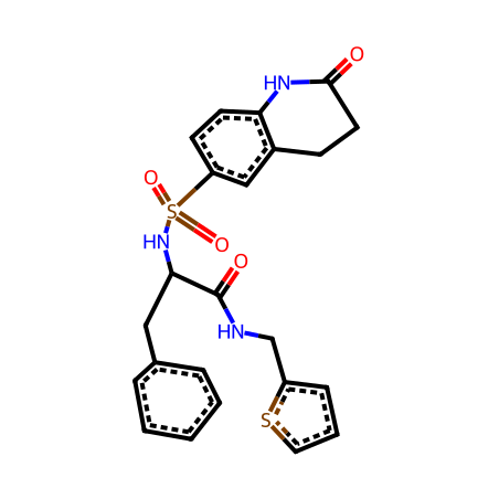 O=C1CCc2cc(S(=O)(=O)NC(Cc3ccccc3)C(=O)NCc3cccs3)ccc2N1